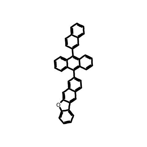 c1ccc2cc(-c3c4ccccc4c(-c4ccc5cc6c(cc5c4)oc4ccccc46)c4ccccc34)ccc2c1